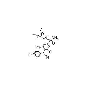 CCOC(CN(C)N(C(N)=O)c1cc(Cl)c(C(C#N)c2ccc(Cl)cc2)c(Cl)c1)OCC